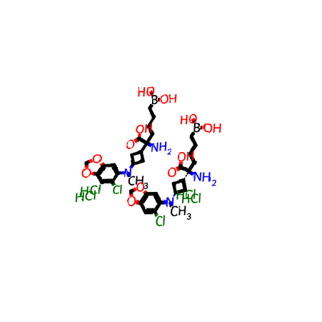 CN(c1cc2c(cc1Cl)OCO2)C1CC(C(N)(CCCCB(O)O)C(=O)O)C1.CN(c1cc2c(cc1Cl)OCO2)[C@H]1C[C@@H](C(N)(CCCCB(O)O)C(=O)O)C1.Cl.Cl.Cl.Cl